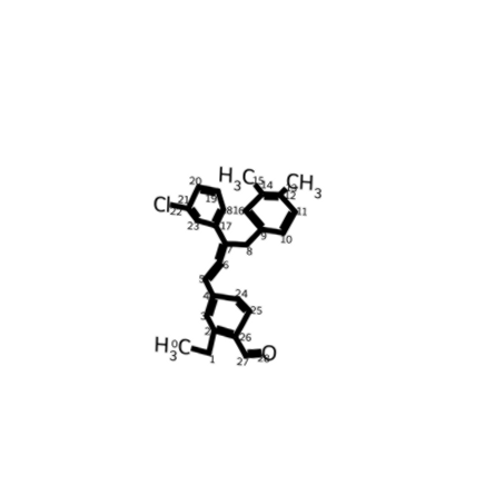 CCc1cc(C=C=C(Cc2ccc(C)c(C)c2)c2cccc(Cl)c2)ccc1C=O